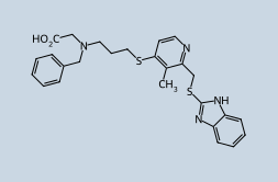 Cc1c(SCCCN(CC(=O)O)Cc2ccccc2)ccnc1CSc1nc2ccccc2[nH]1